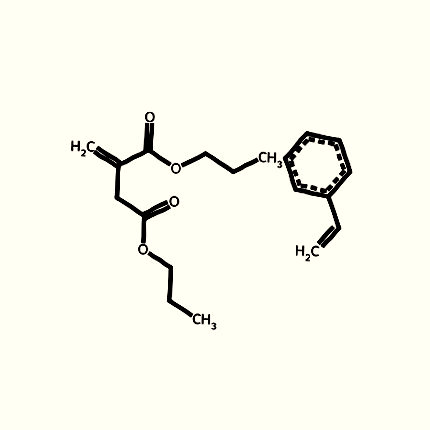 C=C(CC(=O)OCCC)C(=O)OCCC.C=Cc1ccccc1